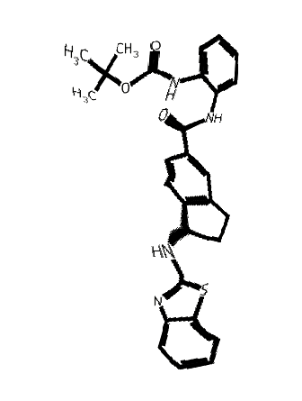 CC(C)(C)OC(=O)Nc1ccccc1NC(=O)c1ccc2c(c1)CCC2Nc1nc2ccccc2s1